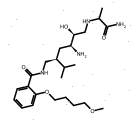 COCCCCOc1ccccc1C(=O)NC[C@@H](C[C@H](N)[C@@H](O)CNC(C)C(N)=O)C(C)C